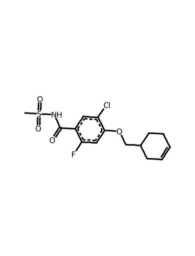 CS(=O)(=O)NC(=O)c1cc(Cl)c(OCC2CC=CCC2)cc1F